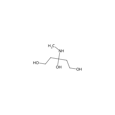 CNC(O)(CCO)CCO